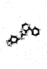 c1ccc(-c2nccn3nc(Nc4ccc5nsnc5c4)nc23)cc1